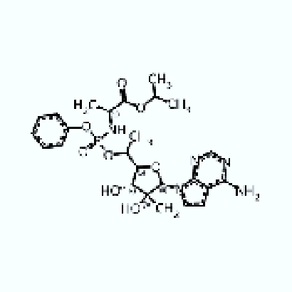 CC(C)OC(=O)[C@H](C)NP(=O)(Oc1ccccc1)OC(C)[C@H]1O[C@@H](n2ccc3c(N)ncnc32)[C@](C)(O)[C@@H]1O